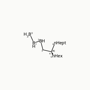 BBBC[C@H](CCCCCC)CCCCCCC